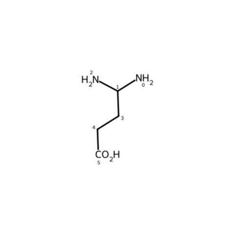 NC(N)CCC(=O)O